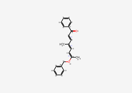 CC(/C=C/C(=O)c1ccccc1)=C\C=C(/C)OCc1ccccc1